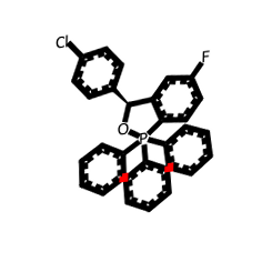 Fc1ccc2c(c1)[C@H](c1ccc(Cl)cc1)OP2(c1ccccc1)(c1ccccc1)c1ccccc1